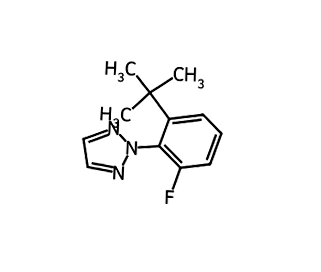 CC(C)(C)c1cccc(F)c1-n1nccn1